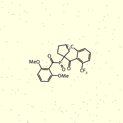 COc1cccc(OC)c1C(=O)[P](=O)C1(C(=O)c2c(C(F)(F)F)cccc2C(F)(F)F)CCCC1